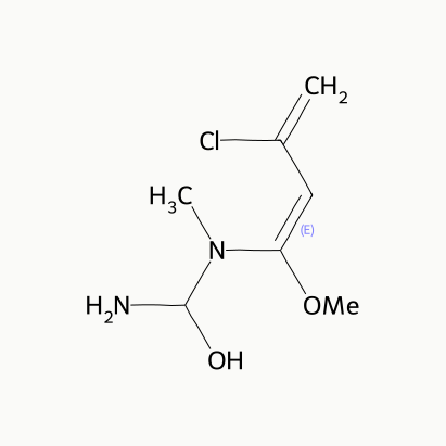 C=C(Cl)/C=C(/OC)N(C)C(N)O